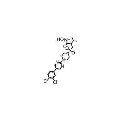 CC(C)C(CS(=O)(=O)N1CCN(c2ncc(-c3ccc(Cl)c(Cl)c3)cn2)CC1)C(=O)NO